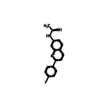 CC(=N)Nc1ccc2ccc(-c3ccc(F)cc3)nc2c1